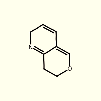 C1=CC2=COCCC2=NC1